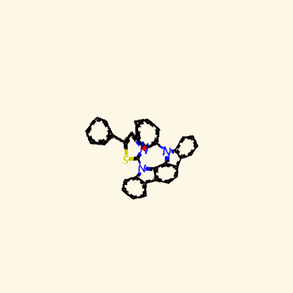 c1ccc(-c2cnc(-n3c4ccccc4c4ccc5c6ccccc6n(-c6ccccc6)c5c43)s2)cc1